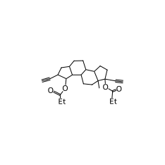 C#CC1CC2CCC3C(CCC4(C)C3CCC4(C#C)OC(=O)CC)C2C1OC(=O)CC